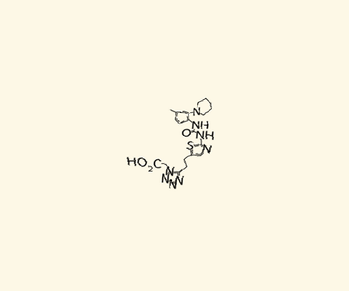 Cc1ccc(NC(=O)Nc2ncc(CCc3nnnn3CC(=O)O)s2)c(N2CCCCC2)c1